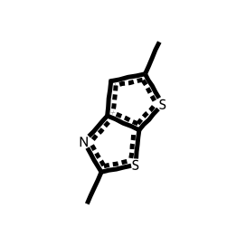 Cc1cc2nc(C)sc2s1